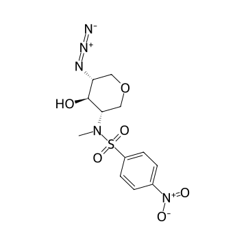 CN([C@H]1COC[C@@H](N=[N+]=[N-])[C@@H]1O)S(=O)(=O)c1ccc([N+](=O)[O-])cc1